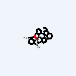 CC(C)n1c2[n+](c3ccccc31)[N+]13c4c(cccc4C4(c5ccccc5-c5ccccc54)c4cccc-2c41)-c1cc(C(C)(C)C)cc[n+]13